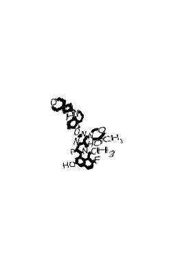 CCc1c(F)ccc2cc(O)cc(-c3ncc4c(N5CCOC[C@@](C)(O)C5)nc(OC[C@]56CCC[C@H]5N(C5CC7(CCOCC7)C5)CCC6)nc4c3F)c12